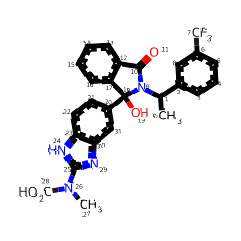 CC(c1cccc(C(F)(F)F)c1)N1C(=O)c2ccccc2C1(O)c1ccc2[nH]c(N(C)C(=O)O)nc2c1